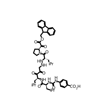 CC(C)C[C@H](NC(=O)Nc1ccc(C(=O)O)cc1)C(=O)N[C@@H](CC(C)C)C(=O)C(=O)CNN[C@@H](CC(C)C)C(=O)N1CCC[C@H]1C(=O)C(=O)OCC1c2ccccc2-c2ccccc21